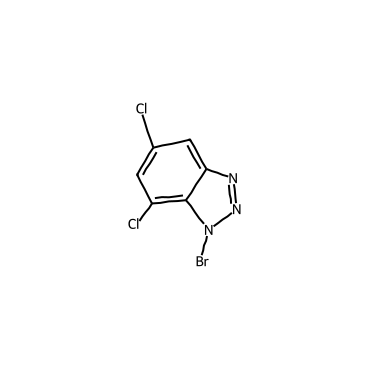 Clc1cc(Cl)c2c(c1)nnn2Br